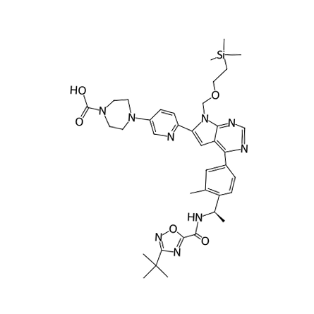 Cc1cc(-c2ncnc3c2cc(-c2ccc(N4CCN(C(=O)O)CC4)cn2)n3COCC[Si](C)(C)C)ccc1[C@@H](C)NC(=O)c1nc(C(C)(C)C)no1